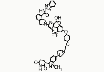 Cn1nc(C2CCC(=O)NC2=O)c2ccc(N3CCN(CCOC4CCC(Oc5ccc(-c6ccc(N7CCc8cccc(C(=O)Nc9nc%10ccccc%10s9)c8C7)nc6C(=O)O)c(C(F)(F)F)c5)CC4)CC3)cc21